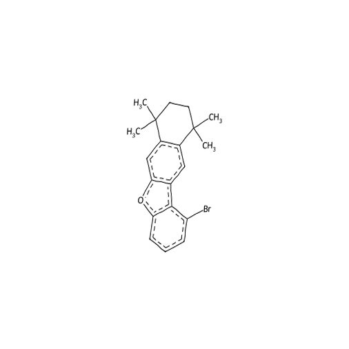 CC1(C)CCC(C)(C)c2cc3c(cc21)oc1cccc(Br)c13